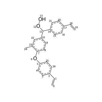 C=Cc1ccc(Oc2ccc(C(OO)c3ccc(C=C)cc3)cc2C)cc1